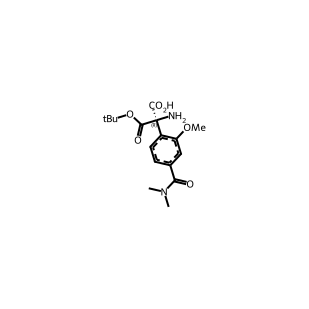 COc1cc(C(=O)N(C)C)ccc1[C@@](N)(C(=O)O)C(=O)OC(C)(C)C